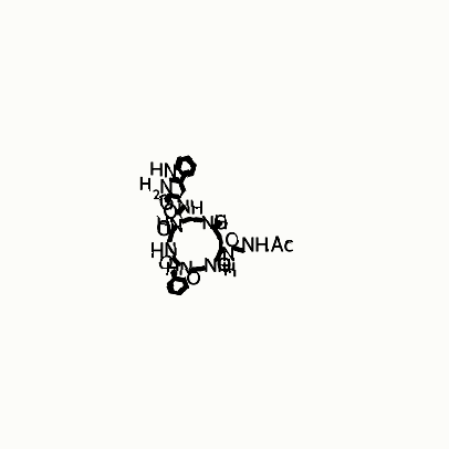 CC(=O)NCC(=O)N[C@H]1CCC(=O)NCC[C@@H](C(=O)N[C@H](Cc2c[nH]c3ccccc23)C(N)=O)NC(=O)CNC(=O)[C@@H](Cc2ccccc2)NC(=O)CNC1=O